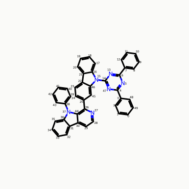 c1ccc(-c2nc(-c3ccccc3)nc(-n3c4ccccc4c4ccc(-c5nccc6c7ccccc7n(-c7ccccc7)c56)cc43)n2)cc1